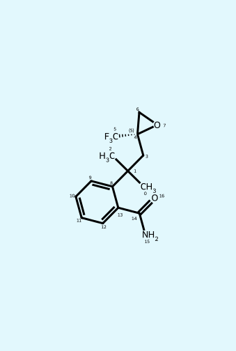 CC(C)(C[C@@]1(C(F)(F)F)CO1)c1ccccc1C(N)=O